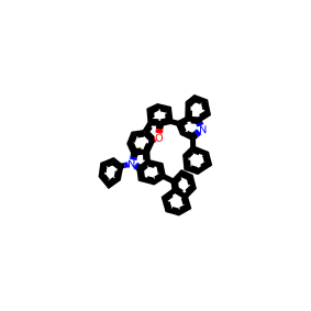 c1ccc(-c2cc(-c3cccc4c3oc3c4ccc4c3c3cc(-c5cccc6ccccc56)ccc3n4-c3ccccc3)c3ccccc3n2)cc1